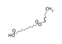 CCCCCC/C=C\COC(=O)CCCCCCCCCCCC(=O)O